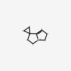 C1=C2N(CC1)CCC21CC1